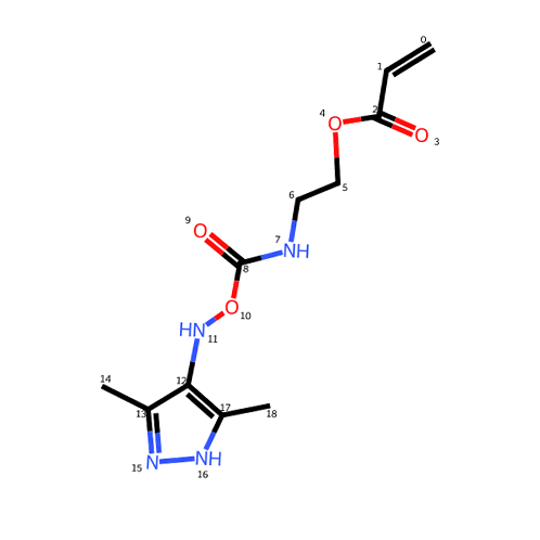 C=CC(=O)OCCNC(=O)ONc1c(C)n[nH]c1C